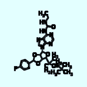 CCNC(=O)Nc1ncnc2c1ncn2C1OC(C(C)(C)O[SiH2]C(C)(C)C)C2OC(c3ccc(F)cc3)OC21